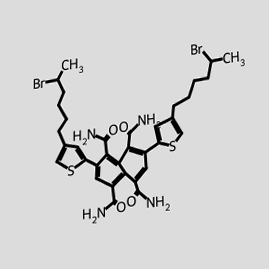 CC(Br)CCCCc1csc(-c2cc(C(N)=O)c3c(C(N)=O)cc(-c4cc(CCCCC(C)Br)cs4)c(C(N)=O)c3c2C(N)=O)c1